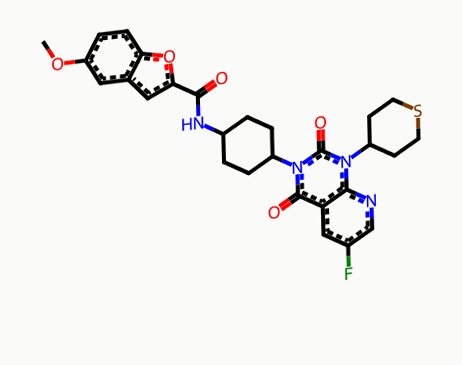 COc1ccc2oc(C(=O)NC3CCC(n4c(=O)c5cc(F)cnc5n(C5CCSCC5)c4=O)CC3)cc2c1